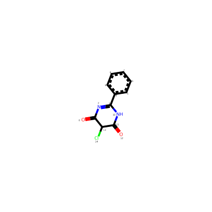 O=C1N=C(c2ccccc2)NC(=O)C1Cl